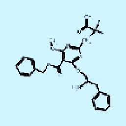 COc1nc(C)nc(OCC(N)Cc2ccccc2)c1C(=O)OCc1ccccc1.O=C(O)C(F)(F)F